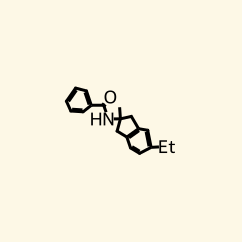 CCc1ccc2c(c1)CC(C)(NC(=O)c1ccccc1)C2